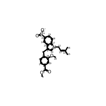 COC(=O)c1ccc(Cc2cn(CC=C(C)C)c3ccc([N+](=O)[O-])cc23)c(OC)c1